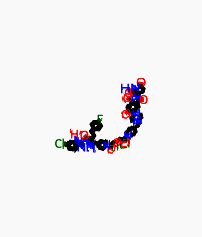 Cl.O=C1CCC(N2C(=O)C3=CC(=O)C(N4CCN(CC5CCN(C(=O)COCC(=O)N6CCC(c7nn(-c8nc9cc(Cl)ccc9[nH]8)c(O)c7CCc7ccc(F)cc7)CC6)CC5)CC4)C=C3C2=O)C(=O)N1